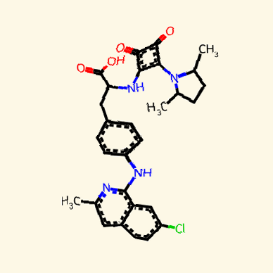 Cc1cc2ccc(Cl)cc2c(Nc2ccc(CC(Nc3c(N4C(C)CCC4C)c(=O)c3=O)C(=O)O)cc2)n1